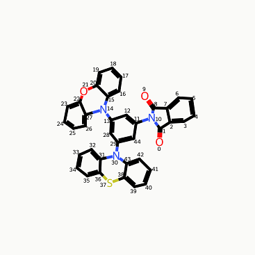 O=C1c2ccccc2C(=O)N1c1cc(N2c3ccccc3Oc3ccccc32)cc(N2c3ccccc3Sc3ccccc32)c1